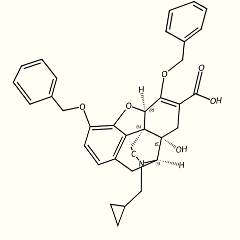 O=C(O)C1=C(OCc2ccccc2)[C@@H]2Oc3c(OCc4ccccc4)ccc4c3[C@@]23CCN(CC2CC2)[C@H](C4)[C@]3(O)C1